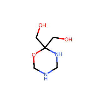 OCC1(CO)NCNCO1